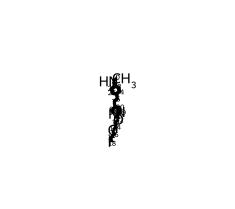 CNc1ccc(C=Cc2cnc(OCCOCCF)nc2)cc1